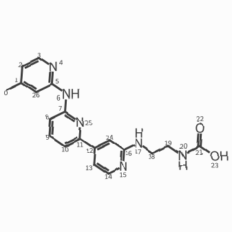 Cc1ccnc(Nc2cccc(-c3ccnc(NCCNC(=O)O)c3)n2)c1